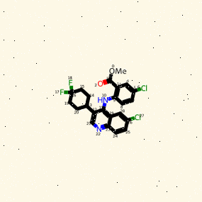 COC(=O)c1cc(Cl)ccc1Nc1c(C2CCC(F)(F)CC2)cnc2ccc(Cl)cc12